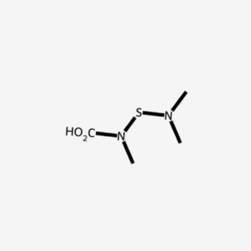 CN(C)SN(C)C(=O)O